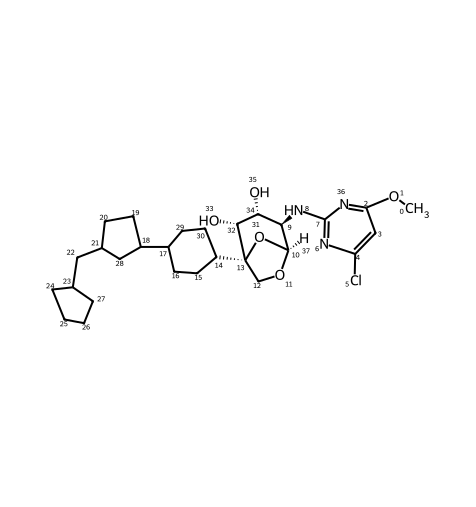 COc1cc(Cl)nc(N[C@H]2[C@H]3OC[C@](C4CCC(C5CCC(CC6CCCC6)C5)CC4)(O3)[C@H](O)[C@@H]2O)n1